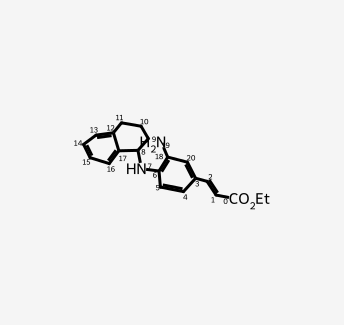 CCOC(=O)C=Cc1ccc(NC2CCCc3ccccc32)c(N)c1